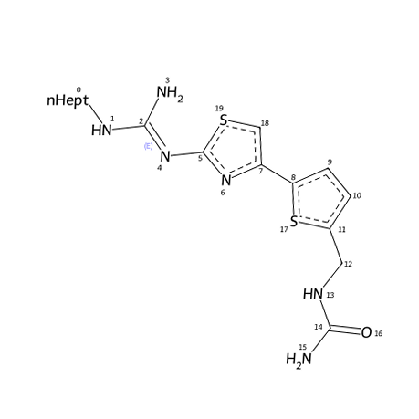 CCCCCCCN/C(N)=N/c1nc(-c2ccc(CNC(N)=O)s2)cs1